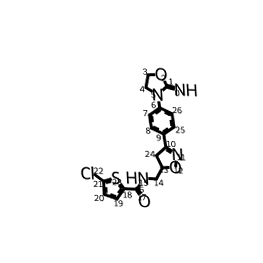 N=C1OCCN1c1ccc(C2=NOC(CNC(=O)c3ccc(Cl)s3)C2)cc1